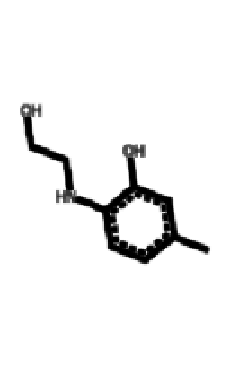 Cc1ccc(NCCO)c(O)c1